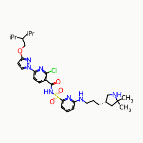 CC(C)C(COc1ccn(-c2ccc(C(=O)NS(=O)(=O)c3cccc(NCCC[C@@H]4CNC(C)(C)C4)n3)c(Cl)n2)n1)C(C)C